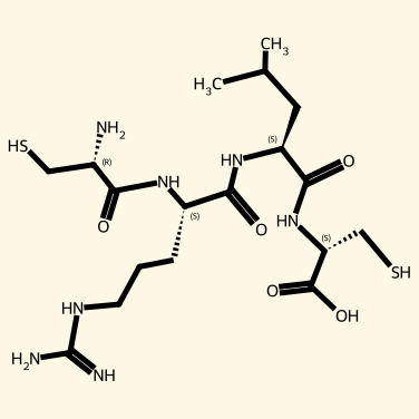 CC(C)C[C@H](NC(=O)[C@H](CCCNC(=N)N)NC(=O)[C@@H](N)CS)C(=O)N[C@H](CS)C(=O)O